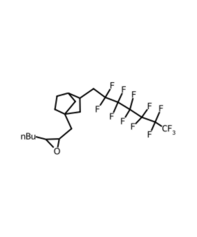 CCCCC1OC1CC12CCC(C1)C(CC(F)(F)C(F)(F)C(F)(F)C(F)(F)C(F)(F)C(F)(F)F)C2